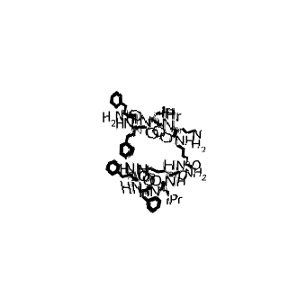 CC(C)C[C@@H](NC(=O)[C@@H](CCc1ccccc1)NC(=O)[C@H](N)Cc1ccccc1)C(=O)N[C@H](CCCN)C(=O)NCCCC[C@H](NC(=O)[C@@H](CCCN)NC(=O)[C@@H](CC(C)C)NC(=O)[C@@H](Cc1ccccc1)NC(=O)[C@H](N)Cc1ccccc1)C(N)=O